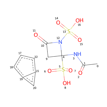 CC(=O)NC1(S(=O)(=O)O)CC(=O)N1S(=O)(=O)O.c1cc2cc-2c1